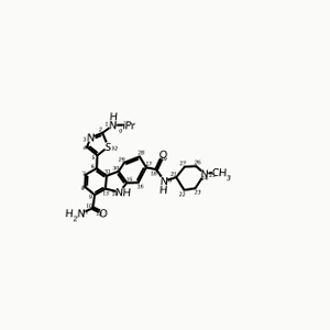 CC(C)Nc1ncc(-c2ccc(C(N)=O)c3[nH]c4cc(C(=O)NC5CCN(C)CC5)ccc4c23)s1